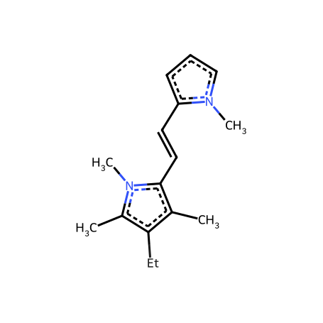 CCc1c(C)c(C=Cc2cccn2C)n(C)c1C